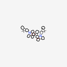 CC1(C)C2=C(C=CC(N(c3ccccc3-c3ccccc3)c3cccc4c3-c3ccccc3C43c4ccccc4-c4c(N(c5ccc6c(c5)C(C)(C)c5ccccc5-6)c5ccccc5-c5ccccc5)cccc43)C2)c2ccccc21